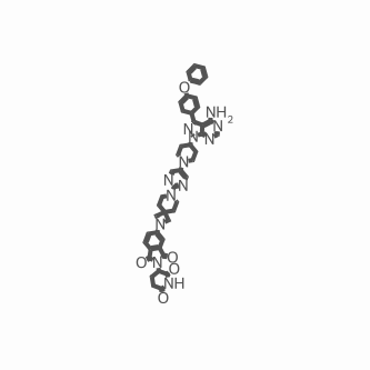 Nc1ncnc2c1c(C1C=CC(Oc3ccccc3)=CC1)nn2C1CCN(c2cnc(N3CCC4(CC3)CN(c3ccc5c(c3)C(=O)N(C3CCC(=O)NC3=O)C5=O)C4)nc2)CC1